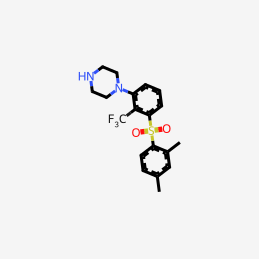 Cc1ccc(S(=O)(=O)c2cccc(N3CCNCC3)c2C(F)(F)F)c(C)c1